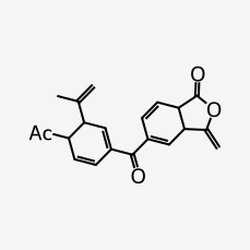 C=C(C)C1C=C(C(=O)C2=CC3C(=C)OC(=O)C3C=C2)C=CC1C(C)=O